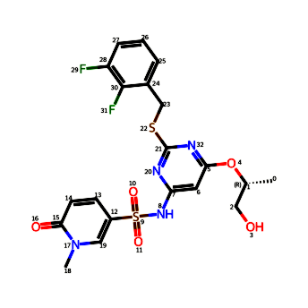 C[C@H](CO)Oc1cc(NS(=O)(=O)c2ccc(=O)n(C)c2)nc(SCc2cccc(F)c2F)n1